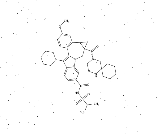 COc1ccc2c(c1)C1CC1(C(=O)N1CCNC3(CCCCC3)C1)Cn1c-2c(C2CCCCC2)c2ccc(C(=O)NS(=O)(=O)C(C)C)cc21